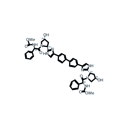 COC(=O)N[C@@H](C(=O)N1C[C@H](O)C[C@H]1c1nc(-c2ccc(-c3ccc(-c4c[nH]c([C@@H]5C[C@@H](O)CN5C(=O)[C@H](NC(=O)OC)c5ccccc5)n4)cc3)cc2)c[nH]1)c1ccccc1